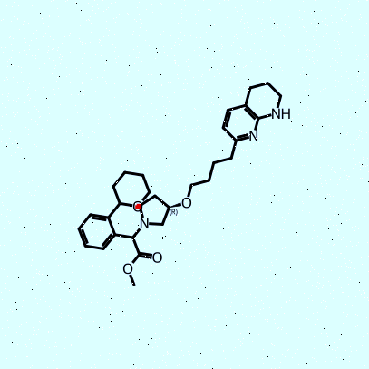 COC(=O)C(c1ccccc1C1CCCCO1)N1CC[C@@H](OCCCCc2ccc3c(n2)NCCC3)C1